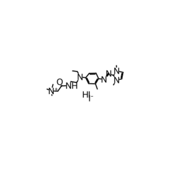 CCN(CCNC(=O)C[N+](C)(C)C)c1ccc(N=NC2N(C)C=CN2C)c(C)c1.I.[I-]